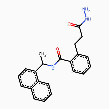 CC(NC(=O)c1ccccc1CCC(=O)NN)c1cccc2ccccc12